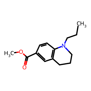 CCCN1CCCc2cc(C(=O)OC)ccc21